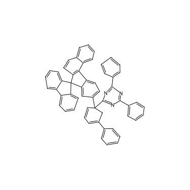 C1=CC(c2ccc3c(c2)C2(c4ccccc4-c4ccccc42)c2ccc4ccccc4c2-3)(c2nc(-c3ccccc3)nc(-c3ccccc3)n2)CC(c2ccccc2)=C1